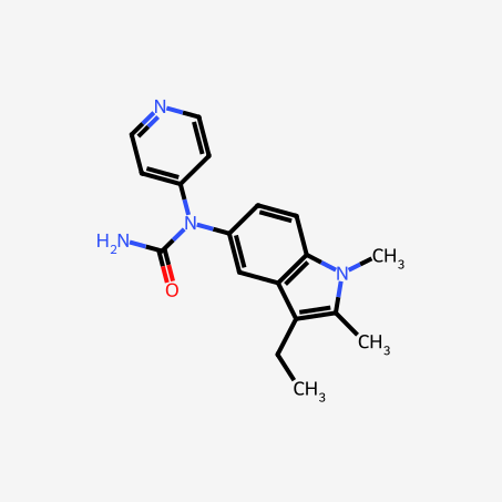 CCc1c(C)n(C)c2ccc(N(C(N)=O)c3ccncc3)cc12